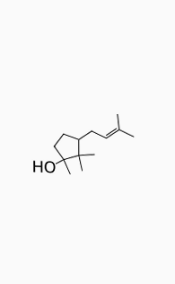 CC(C)=CCC1CCC(C)(O)C1(C)C